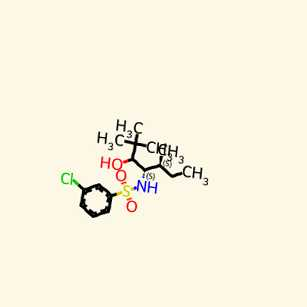 CC[C@H](C)[C@H](NS(=O)(=O)c1cccc(Cl)c1)C(O)C(C)(C)C